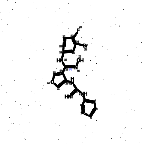 N=C(Nc1ccccc1)Nc1cocc1/C(=N/O)Nc1ccc(F)c(Br)c1